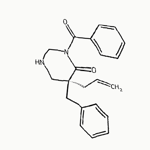 C=CC[C@]1(Cc2ccccc2)CNCN(C(=O)c2ccccc2)C1=O